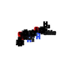 COc1cc(NC(=O)C2CCC(Nc3cccc(C(=O)OCc4ccccc4)c3[N+](=O)[O-])CC2)ccc1C